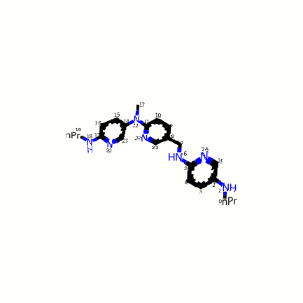 CCCNc1ccc(NCc2ccc(N(C)c3ccc(NCCC)nc3)nc2)nc1